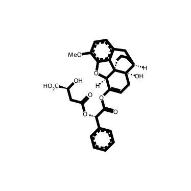 COc1ccc2c3c1O[C@@H]1C(OC(=O)[C@@H](OC(=O)C[C@H](O)C(=O)O)c4ccccc4)=CC[C@]4(O)[C@@H](CCC[C@@]314)C2